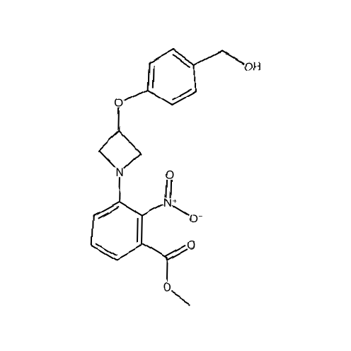 COC(=O)c1cccc(N2CC(Oc3ccc(CO)cc3)C2)c1[N+](=O)[O-]